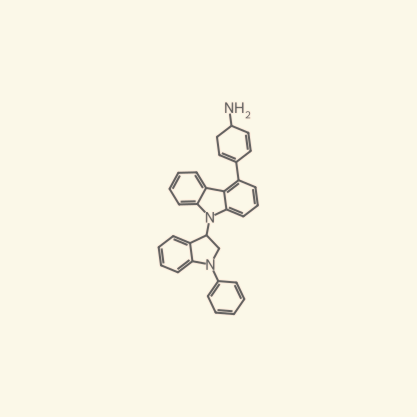 NC1C=CC(c2cccc3c2c2ccccc2n3C2CN(c3ccccc3)c3ccccc32)=CC1